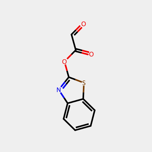 O=CC(=O)Oc1nc2ccccc2s1